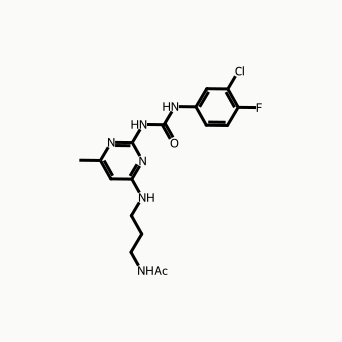 CC(=O)NCCCNc1cc(C)nc(NC(=O)Nc2ccc(F)c(Cl)c2)n1